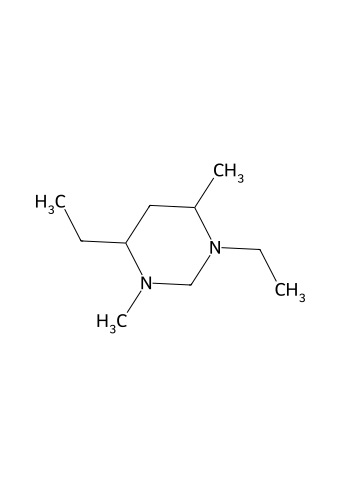 CCC1CC(C)N(CC)CN1C